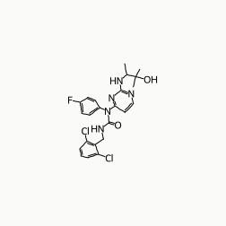 CC(Nc1nccc(N(C(=O)NCc2c(Cl)cccc2Cl)c2ccc(F)cc2)n1)C(C)(C)O